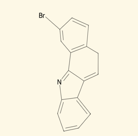 Brc1ccc2c(c1)C1=Nc3ccccc3C1=CC2